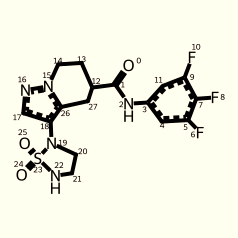 O=C(Nc1cc(F)c(F)c(F)c1)C1CCn2ncc(N3CCNS3(=O)=O)c2C1